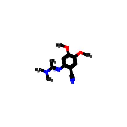 COc1cc(C#N)c(/N=C(\C)N(C)C)cc1OC